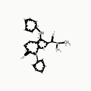 CN(C)C(=O)c1sc2c(ccc(=O)n2-c2ccccc2)c1Nc1ccccc1